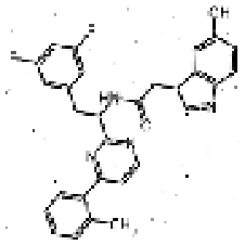 Cc1ccccc1-c1ccnc(C(Cc2cc(F)cc(F)c2)NC(=O)CC2C=Nc3ccc(O)cc32)n1